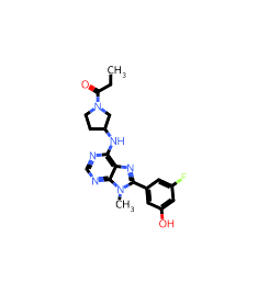 CCC(=O)N1CCC(Nc2ncnc3c2nc(-c2cc(O)cc(F)c2)n3C)C1